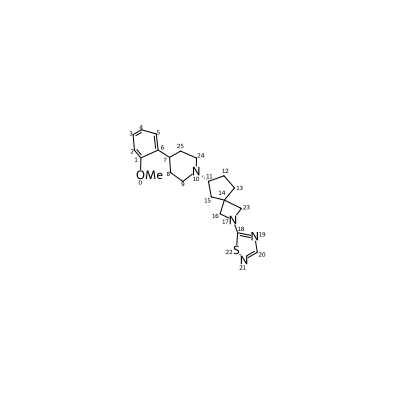 COc1ccccc1C1CCN([C@@H]2CCC3(C2)CN(c2ncns2)C3)CC1